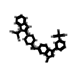 Cn1nc(-c2cccc(S(C)(=O)=O)c2)c2ccc(NC3CCN(c4nc5ccccc5n4C(F)F)CC3)cc21